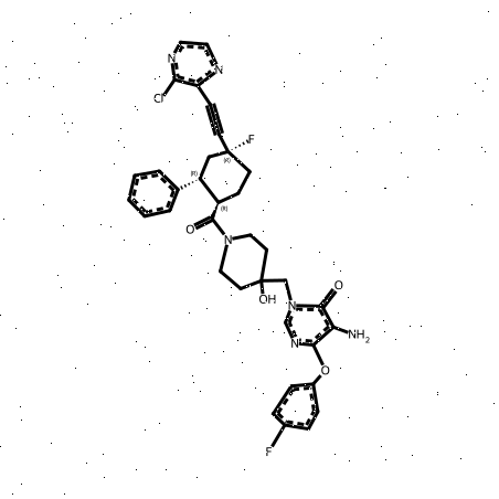 Nc1c(Oc2ccc(F)cc2)ncn(CC2(O)CCN(C(=O)[C@@H]3CC[C@](F)(C#Cc4nccnc4Cl)C[C@H]3c3ccccc3)CC2)c1=O